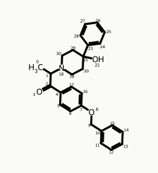 CC(C(=O)c1ccc(OCc2ccccc2)cc1)N1CCC(O)(c2ccccc2)CC1